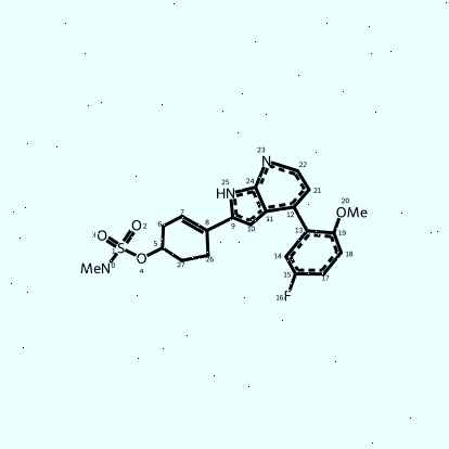 CNS(=O)(=O)OC1CC=C(c2cc3c(-c4cc(F)ccc4OC)ccnc3[nH]2)CC1